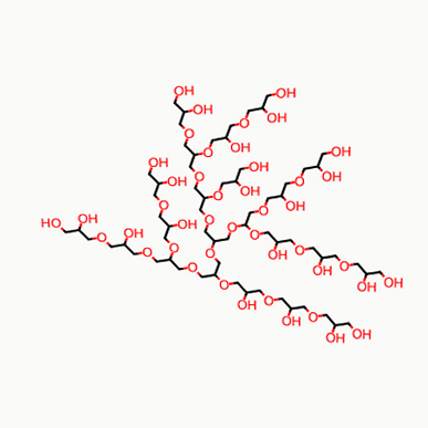 OCC(O)COCC(O)COCC(O)COC(COCC(COCC(O)COCC(O)CO)OCC(O)COCC(O)CO)COC(COCC(COCC(COCC(O)CO)OCC(O)COCC(O)CO)OCC(O)CO)COC(COCC(O)COCC(O)CO)OCC(O)COCC(O)COCC(O)CO